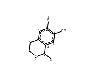 CC1OCCc2cc(F)c(F)cc21